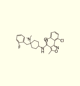 Cc1onc(-c2c(Cl)cccc2Cl)c1C(=O)NC1CCC(Cc2ccccc2F)(N(C)C)CC1